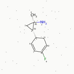 C[C@@]1(N)C[C@H]1C1C=CC(F)=CC1